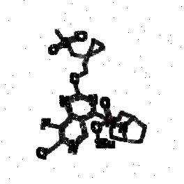 CC(C)(C)OC(=O)N1C2CCC1CN(c1nc(OCC3(CS(C)(=O)=O)CC3)nc3c(F)c(Cl)ncc13)C2